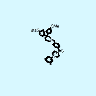 COc1ccc(C2(c3ccc(OC)cc3)CCCN(Cc3ccc(C(=O)N4CCN(c5cccc(C)c5)CC4)cc3)C2)cc1